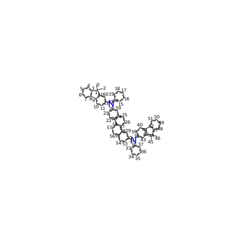 CC1(C)c2ccccc2-c2ccc(N(c3ccccc3)c3ccc4c(ccc5c6cc(N(c7ccccc7)c7ccc8c(c7)C(C)(C)c7ccccc7-8)ccc6ccc45)c3)cc21